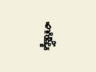 CC[C@@H](CO)NC(=O)c1c(-c2ccsc2)nc2c(C(=O)NCc3ccc(Cl)nc3)cccn12